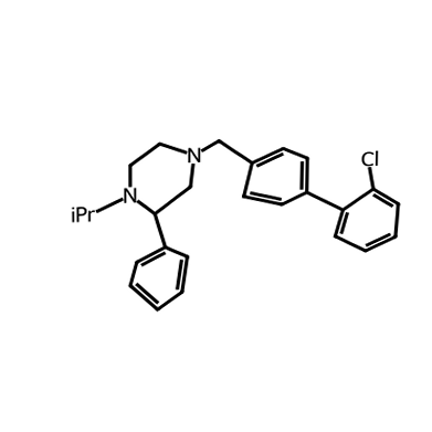 CC(C)N1CCN(Cc2ccc(-c3ccccc3Cl)cc2)CC1c1ccccc1